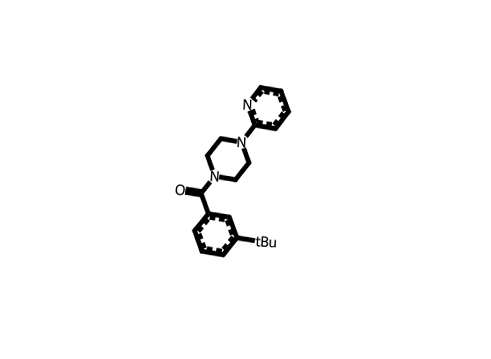 CC(C)(C)c1cccc(C(=O)N2CCN(c3ccccn3)CC2)c1